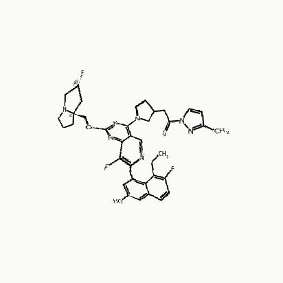 CCc1c(F)ccc2cc(O)cc(-c3ncc4c(N5CCC(CC(=O)n6ccc(C)n6)C5)nc(OC[C@@]56CCCN5C[C@H](F)C6)nc4c3F)c12